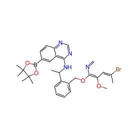 C=N/C(OCc1ccccc1C(C)Nc1ncnc2ccc(B3OC(C)(C)C(C)(C)O3)cc12)=C(\C=C(/C)Br)OC